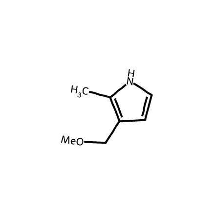 COCc1cc[nH]c1C